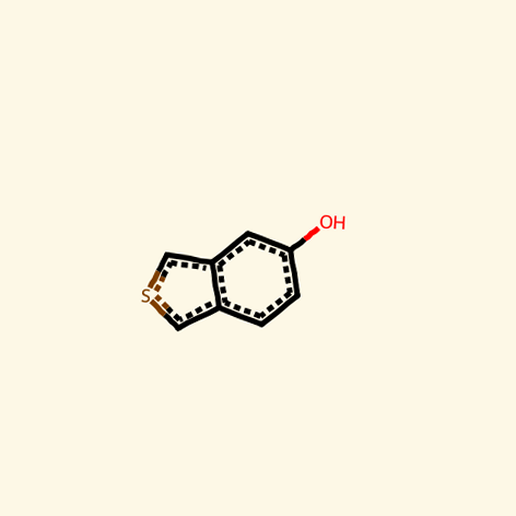 Oc1ccc2cscc2c1